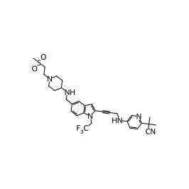 CC(C)(C#N)c1ccc(NCC#Cc2cc3cc(CNC4CCN(CCS(C)(=O)=O)CC4)ccc3n2CC(F)(F)F)cn1